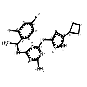 CC(Nc1nc(N)nc(Nc2cc(C3CCC3)[nH]n2)n1)c1ccc(F)cc1F